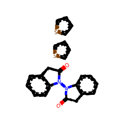 O=C1Cc2ccccc2N1N1C(=O)Cc2ccccc21.c1ccsc1.c1ccsc1